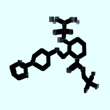 CN(C)S(=O)(=O)N[C@H]1CCCN(C(=O)OCC(F)(F)F)[C@H]1COC1CCN(c2ncccn2)CC1